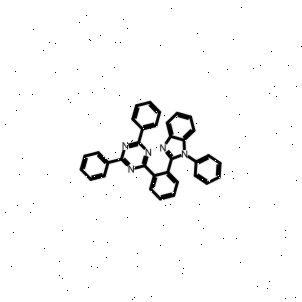 c1ccc(-c2nc(-c3ccccc3)nc(-c3ccccc3-c3nc4ccccc4n3-c3ccccc3)n2)cc1